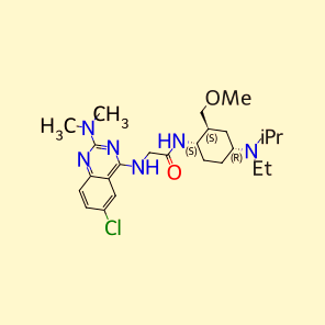 CCN(C(C)C)[C@@H]1CC[C@H](NC(=O)CNc2nc(N(C)C)nc3ccc(Cl)cc23)[C@@H](COC)C1